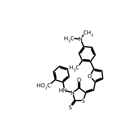 Cc1cc(N(C)C)ccc1-c1ccc(C=C2SC(=S)N(Nc3ccccc3C(=O)O)C2=O)o1